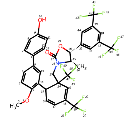 COc1ccc(-c2ccc(O)cc2)cc1C1C=CC(C(F)(F)F)=CC1(CN1C(=O)O[C@H](c2cc(C(F)(F)F)cc(C(F)(F)F)c2)[C@@H]1C)C(F)(F)F